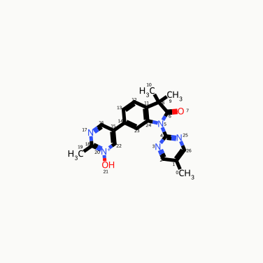 Cc1cnc(N2C(=O)C(C)(C)c3ccc(-c4cnc(C)[n+](O)c4)cc32)nc1